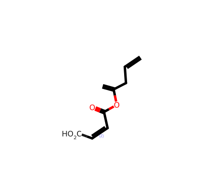 C=CCC(=C)OC(=O)/C=C\C(=O)O